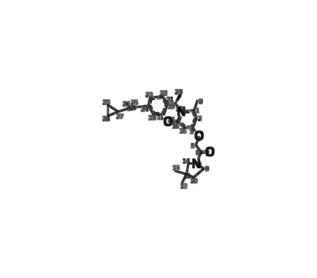 Cc1cc(OCC(=O)N2CCC(C)(C)C2)cc(=O)n1[C@H](C)c1ccc(C#CC2CC2)cc1